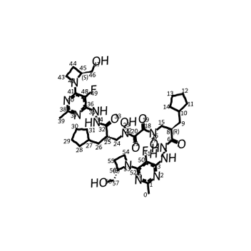 Cc1nc(NNC(=O)[C@H](CC2CCCC2)CN(O)C(=O)C(=O)N(O)C[C@@H](CC2CCCC2)C(=O)NNc2nc(C)nc(N3CC[C@H]3CO)c2F)c(F)c(N2CC[C@H]2CO)n1